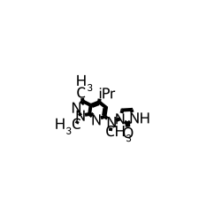 Cc1nn(C)c2nc(N(C)N3CCNC3=O)cc(C(C)C)c12